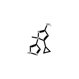 C[N+]1(c2cn[nH]c2)N=C(N)C=C1C1CC1